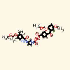 COCOc1ccc(OC)c(F)c1C(=O)c1ccc(C(=O)OOC(=O)N2CCC(NC(=O)c3cc(C)c(OCOC)c(C)c3)C2)cc1